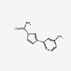 Cc1cccc(-c2ccn(C(=N)N)n2)c1